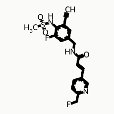 C#Cc1cc(CNC(=O)/C=C/c2ccc(CF)nc2)cc(F)c1NS(C)(=O)=O